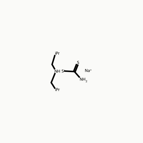 CC(C)CNCC(C)C.NC(=S)[S-].[Na+]